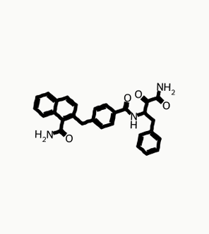 NC(=O)C(=O)C(Cc1ccccc1)NC(=O)c1ccc(Cc2ccc3ccccc3c2C(N)=O)cc1